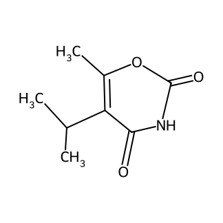 Cc1oc(=O)[nH]c(=O)c1C(C)C